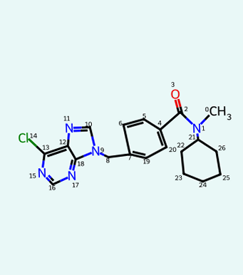 CN(C(=O)c1ccc(Cn2cnc3c(Cl)ncnc32)cc1)C1CCCCC1